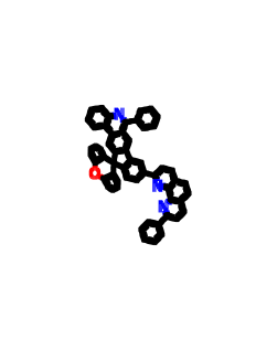 c1ccc(-c2ccc3ccc4ccc(-c5ccc6c(c5)-c5cc7c(-c8ccccc8)nc8ccccc8c7cc5C65c6ccccc6Oc6ccccc65)nc4c3n2)cc1